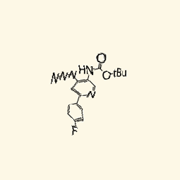 CC(C)(C)OC(=O)Nc1cnc(-c2ccc(F)cc2)cc1N=[N+]=[N-]